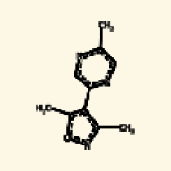 Cc1cnc(-c2c(C)noc2C)cn1